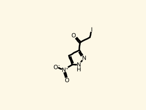 O=C(CI)c1cc([N+](=O)[O-])[nH]n1